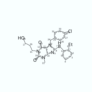 CCc1ccccc1Bc1nc2c(c(=O)n(CCCO)c(=O)n2C)n1Cc1ccc(Cl)cc1